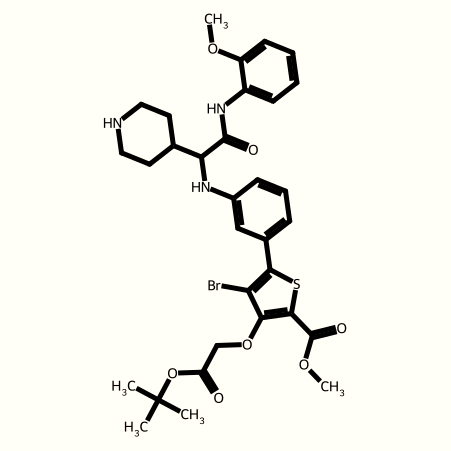 COC(=O)c1sc(-c2cccc(NC(C(=O)Nc3ccccc3OC)C3CCNCC3)c2)c(Br)c1OCC(=O)OC(C)(C)C